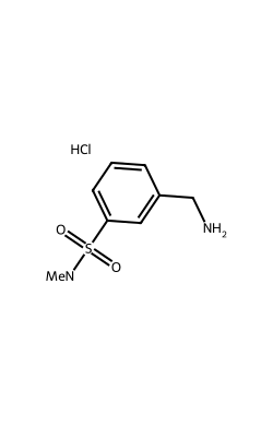 CNS(=O)(=O)c1cccc(CN)c1.Cl